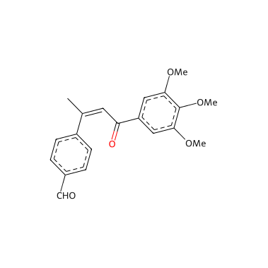 COc1cc(C(=O)/C=C(/C)c2ccc(C=O)cc2)cc(OC)c1OC